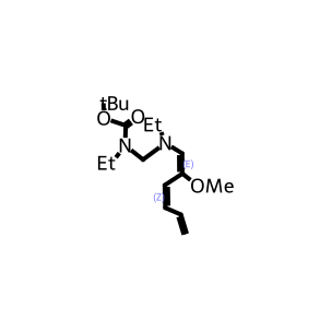 C=C/C=C\C(=C/N(CC)CN(CC)C(=O)OC(C)(C)C)OC